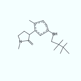 C=C1C(c2cc(BCC(C)(C)C(C)(C)C)ccc2C)CCN1C